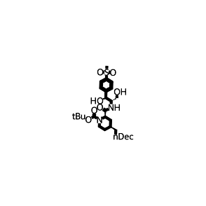 CCCCCCCCCCC[C@H]1CCN(C(=O)OC(C)(C)C)[C@@H](C(=O)N[C@@H](CO)[C@@H](O)c2ccc(S(C)(=O)=O)cc2)C1